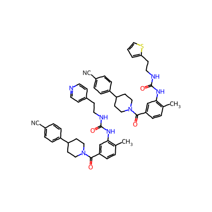 Cc1ccc(C(=O)N2CCC(c3ccc(C#N)cc3)CC2)cc1NC(=O)NCCc1cccs1.Cc1ccc(C(=O)N2CCC(c3ccc(C#N)cc3)CC2)cc1NC(=O)NCCc1ccncc1